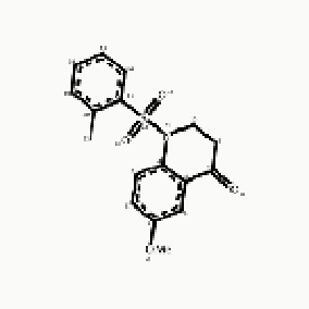 COc1ccc2c(c1)C(=O)CCN2S(=O)(=O)c1ccccc1C